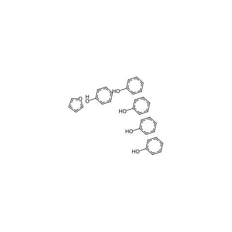 Oc1ccccc1.Oc1ccccc1.Oc1ccccc1.Oc1ccccc1.Oc1ccccc1.c1ccoc1